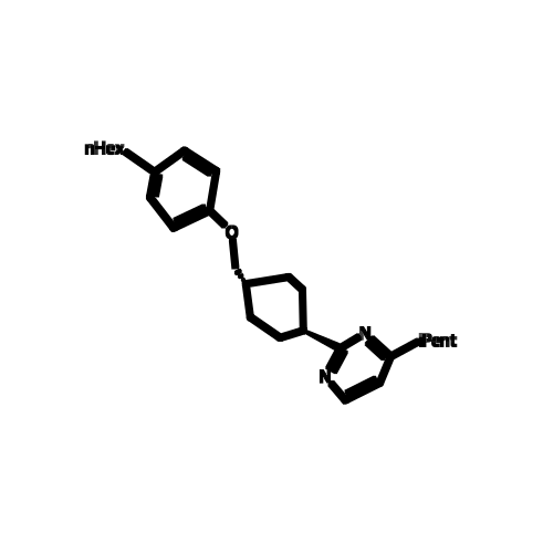 CCCCCCc1ccc(OC[C@H]2CC[C@H](c3nccc(C(C)CCC)n3)CC2)cc1